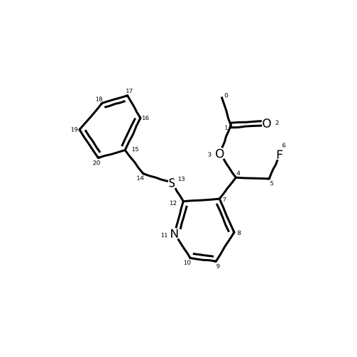 CC(=O)OC(CF)c1cccnc1SCc1ccccc1